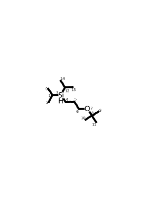 CC(C)[SiH](CCCOC(C)(C)C)C(C)C